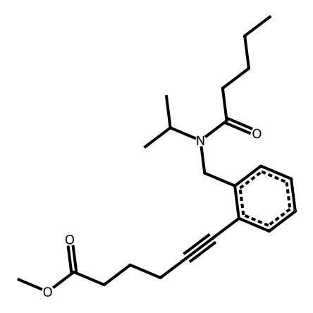 CCCCC(=O)N(Cc1ccccc1C#CCCCC(=O)OC)C(C)C